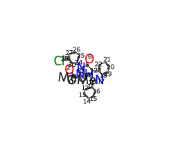 COC(=O)NN(C(=O)c1c(OC)c(-c2ccccc2)nc2ccccc12)c1cccc(Cl)c1